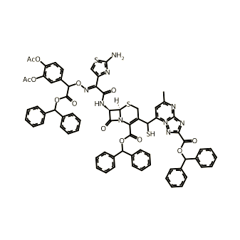 CC(=O)Oc1ccc(C(ON=C(C(=O)N[C@@H]2C(=O)N3C(C(=O)OC(c4ccccc4)c4ccccc4)=C(C(S)c4cc(C)nc5nc(C(=O)OC(c6ccccc6)c6ccccc6)nn45)CS[C@H]23)c2csc(N)n2)C(=O)OC(c2ccccc2)c2ccccc2)cc1OC(C)=O